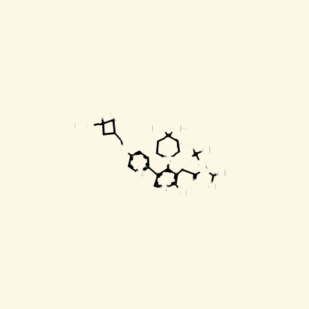 Cc1ncc(-c2ccc(OCC3CC(C)(C)C3)cn2)c(N2CCC(C)(C)CC2)c1[C@H](OC(C)(C)C)C(=O)OC(C)C